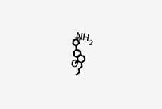 CCCCC1CCc2cc(C3CC[C@@H](N)C3)ccc2C1=O